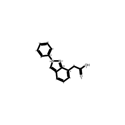 O=C(O)Cc1cccc2cn(-c3ccccc3)nc12